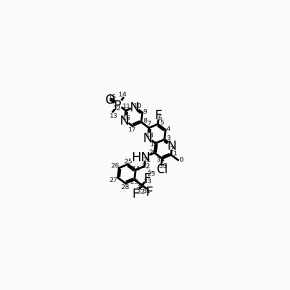 Cc1nc2cc(F)c(-c3cnc(P(C)(C)=O)nc3)nc2c(N[C@H](C)c2ccccc2C(F)(F)F)c1Cl